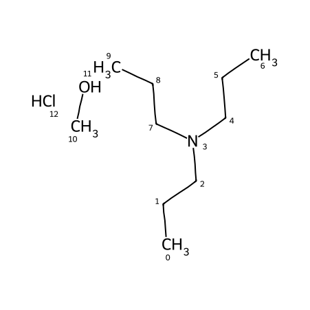 CCCN(CCC)CCC.CO.Cl